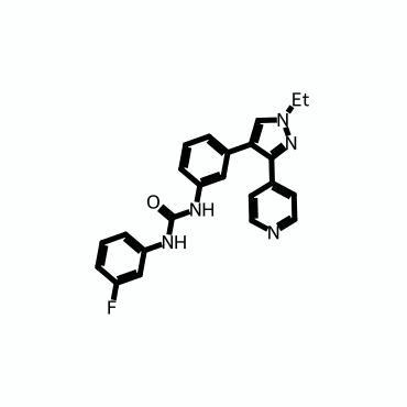 CCn1cc(-c2cccc(NC(=O)Nc3cccc(F)c3)c2)c(-c2ccncc2)n1